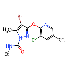 CCNC(=O)n1nc(Oc2ncc(C(F)(F)F)cc2Cl)c(Br)c1C